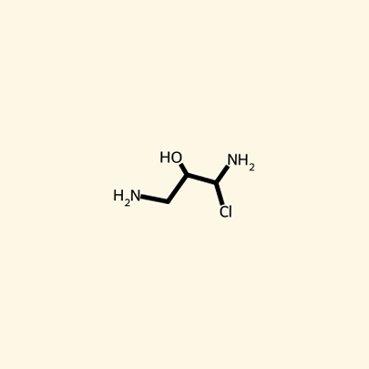 NCC(O)C(N)Cl